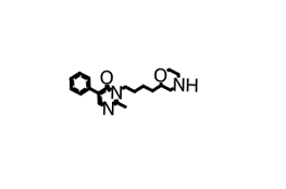 Cc1ncc(-c2ccccc2)c(=O)n1CCCCC1CNCCO1